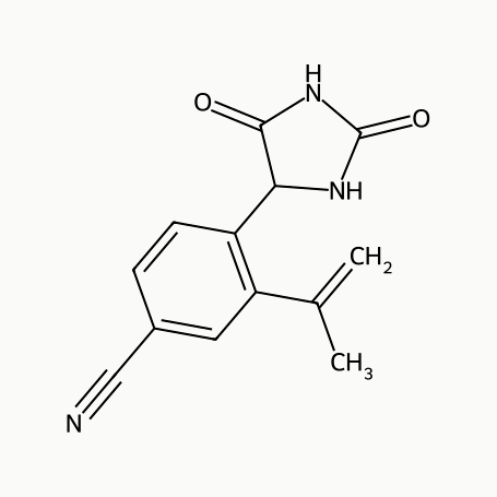 C=C(C)c1cc(C#N)ccc1C1NC(=O)NC1=O